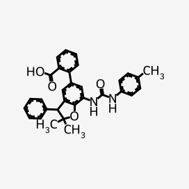 Cc1ccc(NC(=O)Nc2cc(-c3ccccc3C(=O)O)cc3c2OC(C)(C)C3c2ccccc2)cc1